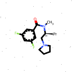 CC(C)[C@@H](CN1CCCC1)N(C)C(=O)c1cc(F)cc(F)c1